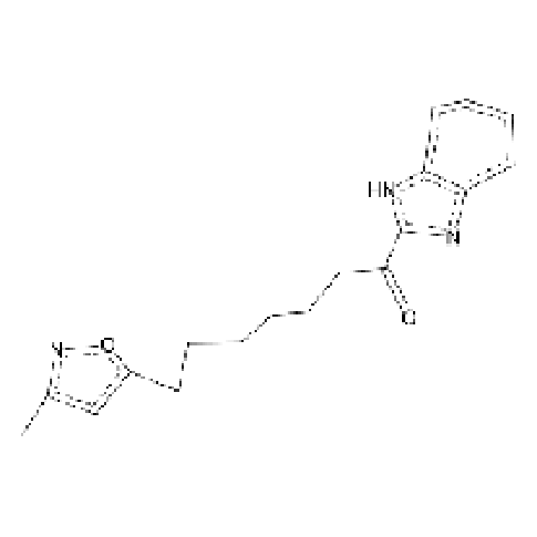 Cc1cc(CCCCCCC(=O)c2nc3ccccc3[nH]2)on1